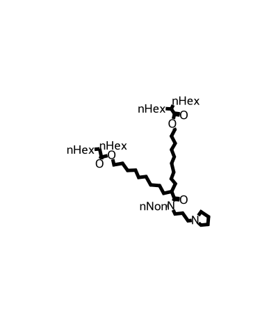 CCCCCCCCCN(CCCN1CCCC1)C(=O)C(CCCCCCCCCOC(=O)C(CCCCCC)CCCCCC)CCCCCCCCCOC(=O)C(CCCCCC)CCCCCC